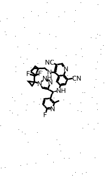 Cc1nc(F)ccc1[C@H](Nc1cc(C#N)c2ncc(C#N)c(NCC34CC(C3)C4)c2c1)c1cn(C2(C(F)F)CC2)nn1